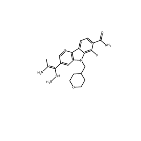 C/C(N)=C(/NN)c1cnc2c3ccc(C(N)=O)c(F)c3n(CC3CCOCC3)c2c1